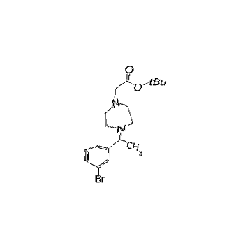 CC(c1cccc(Br)c1)N1CCN(CC(=O)OC(C)(C)C)CC1